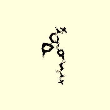 CC(C)(C)OC(=O)NCCOc1ccc(OC[C@@H]2CN(C(=O)OC(C)(C)C)CC[C@H]2c2ccc(F)cc2)cc1